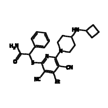 CCc1c(C#N)c(SC(C(N)=O)c2ccccc2)nc(N2CCC(NC3CCC3)CC2)c1C#N